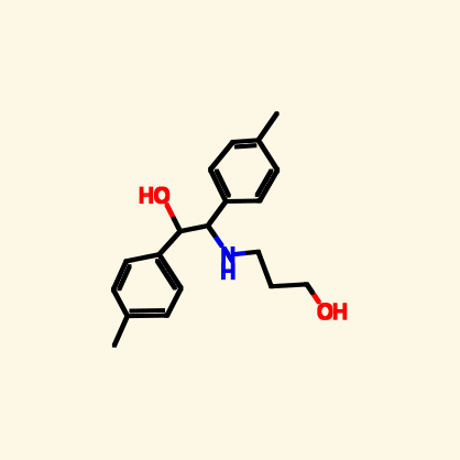 Cc1ccc(C(O)C(NCCCO)c2ccc(C)cc2)cc1